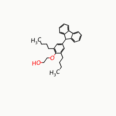 CCCCc1cc(C2c3ccccc3-c3ccccc32)cc(CCCC)c1OCCO